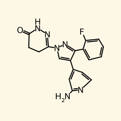 Nc1cc(-c2cn(C3=NNC(=O)CC3)nc2-c2ccccc2F)ccn1